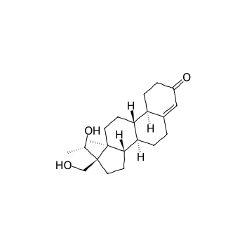 C[C@H](O)[C@@]1(CO)CC[C@H]2[C@@H]3CCC4=CC(=O)CC[C@@H]4[C@H]3CC[C@@]21C